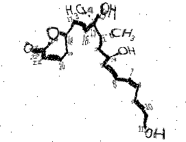 C[C@H](C[C@@H](O)\C=C/C=C\C=C\CO)[C@](C)(O)/C=C/[C@H]1CC=CC(=O)O1